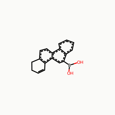 OB(O)c1cc2c3c(ccc2c2ccccc12)CCC=C3